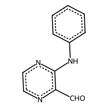 O=Cc1nccnc1Nc1ccccc1